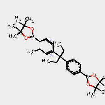 CC/C=C(\C=C/CB1OC(C)(C)C(C)(C)O1)C(CC)(CC)c1ccc(B2OC(C)(C)C(C)(C)O2)cc1